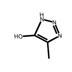 Cc1nn[nH]c1O